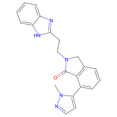 Cn1nccc1-c1cccc2c1C(=O)N(CCc1nc3ccccc3[nH]1)C2